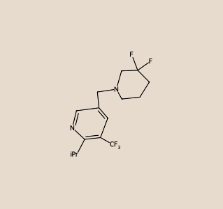 CC(C)c1ncc(CN2CCCC(F)(F)C2)cc1C(F)(F)F